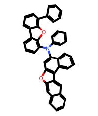 c1ccc(-c2cccc3c2oc2c(N(c4ccccc4)c4cc5oc6cc7ccccc7cc6c5c5ccccc45)cccc23)cc1